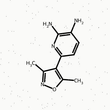 Cc1noc(C)c1-c1ccc(N)c(N)n1